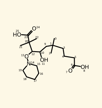 CC(C)(CCCC(=O)O)CC(O)C(ON1CCCCC1)C(C)(C)C(=O)O